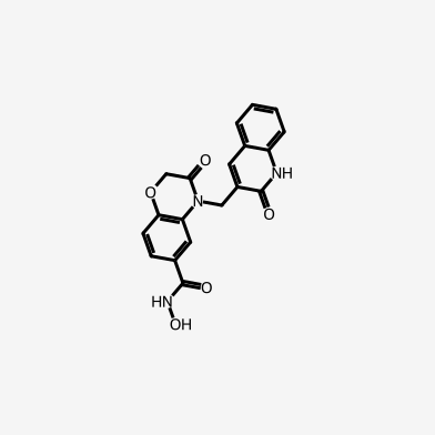 O=C(NO)c1ccc2c(c1)N(Cc1cc3ccccc3[nH]c1=O)C(=O)CO2